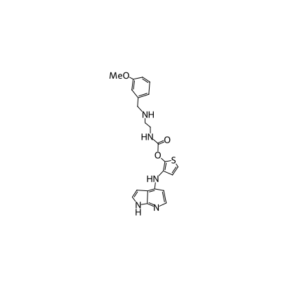 COc1cccc(CNCCNC(=O)Oc2sccc2Nc2ccnc3[nH]ccc23)c1